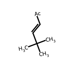 CC(=O)C=CC(C)(C)C